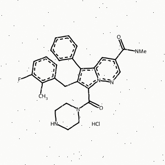 CNC(=O)c1cnn2c(C(=O)N3CCNCC3)c(Cc3cccc(F)c3C)c(-c3ccccc3)c2c1.Cl